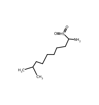 CC(C)CCCCCCC(N)[SH](=O)=O